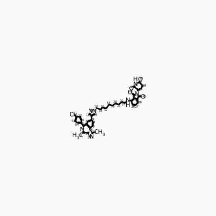 Cc1nnc2n1-c1ccc(-c3cnn(CCCCCCCCCCNc4cccc5c4C(=O)N(C4CCC(=O)NC4=O)C5=O)c3)cc1C(c1ccc(Cl)cc1)=N[C@H]2C